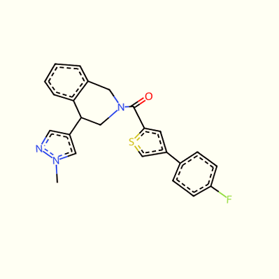 Cn1cc(C2CN(C(=O)c3cc(-c4ccc(F)cc4)cs3)Cc3ccccc32)cn1